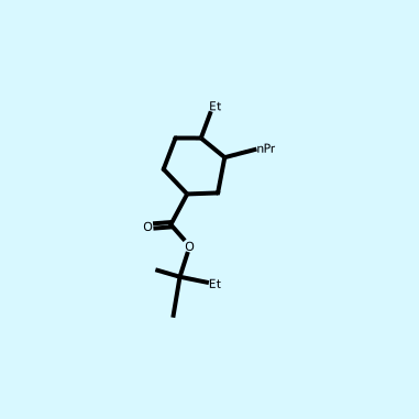 CCCC1CC(C(=O)OC(C)(C)CC)CCC1CC